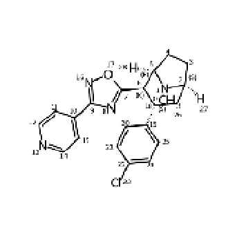 CN1[C@H]2CC[C@@H]1[C@H](c1nc(-c3ccncc3)no1)[C@@H](c1ccc(Cl)cc1)C2